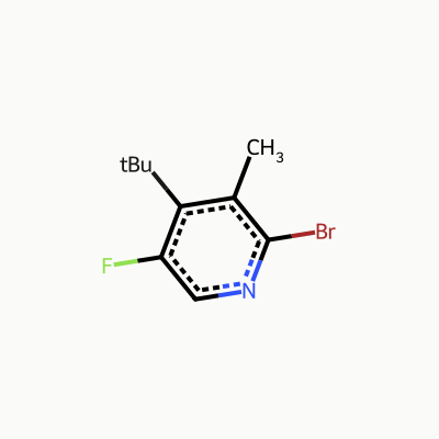 Cc1c(Br)ncc(F)c1C(C)(C)C